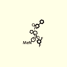 CN[C@@H]1CCN(C(=O)N2CC[C@@H](Cn3ccc(-c4ccccc4)cc3=O)C3(CCCC3)C2)[C@H](c2cc(F)cc(F)c2)C1